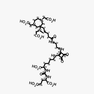 CN(CC(=O)O)C1(CCCCC(=O)NCCNc2c(NCCCCC(NC(=O)NC(CCC(=O)O)C(=O)O)C(=O)O)c(=O)c2=O)CN(CC(=O)O)CCN(CC(=O)O)C1